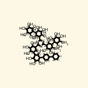 Bc1c(O)c(O)c(O)c(-c2c(B)c(O)c(O)c(-c3nc(-c4c(O)c(O)c(O)c(-c5c(O)c(O)c(O)c(O)c5O)c4O)nc(-c4c(O)c(O)c(O)c5c4oc4c(-c6ccc(-c7ccccc7)cc6)c(O)c(O)c(O)c45)n3)c2O)c1O